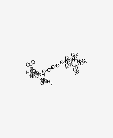 CC(C)[C@@H](NC(=O)OCC1c2ccccc2-c2ccccc21)C(=O)N[C@H](CCCNC(N)=O)C(=O)NCCOCCOCCOCCOCCOCCNC(=O)CCC(C(=O)OC(C)(C)C)N1CCN(CC(=O)OC(C)(C)C)CCN(CC(=O)OC(C)(C)C)CCN(CC(=O)OC(C)(C)C)CC1